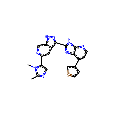 Cc1ncc(-c2cc3c(-c4nc5c(-c6ccsc6)ccnc5[nH]4)n[nH]c3cn2)n1C